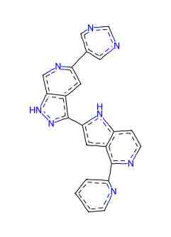 c1ccc(-c2nccc3[nH]c(-c4n[nH]c5cnc(-c6cncnc6)cc45)cc23)nc1